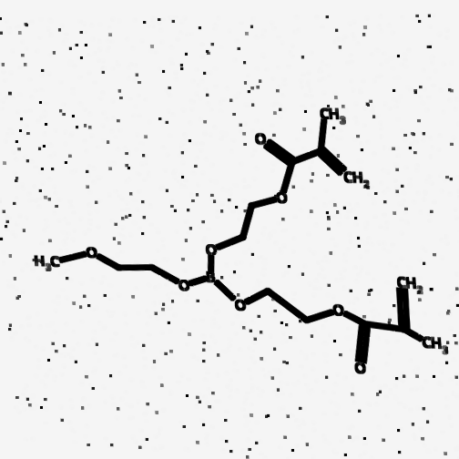 C=C(C)C(=O)OCCOB(OCCOC)OCCOC(=O)C(=C)C